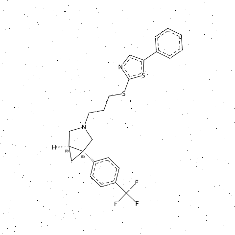 FC(F)(F)c1ccc([C@]23C[C@H]2CN(CCCSc2ncc(-c4ccccc4)s2)C3)cc1